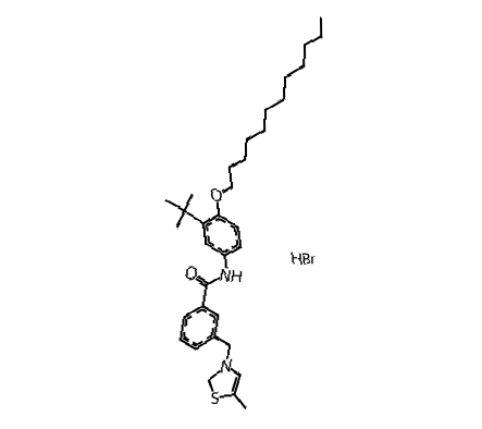 Br.CCCCCCCCCCCCOc1ccc(NC(=O)c2cccc(CN3C=C(C)SC3)c2)cc1C(C)(C)C